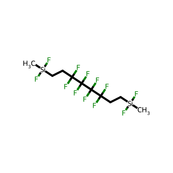 C[Si](F)(F)CCC(F)(F)C(F)(F)C(F)(F)C(F)(F)CC[Si](C)(F)F